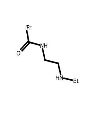 CCNCCNC(=O)C(C)C